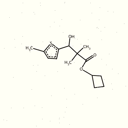 Cc1ccc(C(O)C(C)(C)C(=O)OC2CCC2)s1